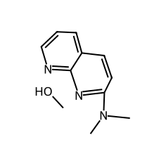 CN(C)c1ccc2cccnc2n1.CO